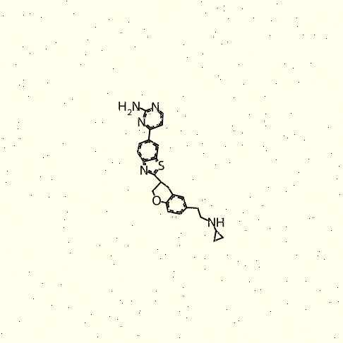 Nc1nccc(-c2ccc3nc(C4COc5ccc(CCNC6CC6)cc5C4)sc3c2)n1